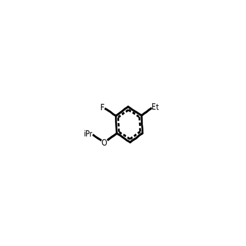 CCc1ccc(OC(C)C)c(F)c1